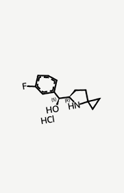 Cl.O[C@@H](c1cccc(F)c1)[C@H]1CCC2(CC2)N1